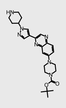 CC(C)(C)OC(=O)N1CCN(c2ccc3ncc(-c4cnn(C5CCNCC5)c4)nc3c2)CC1